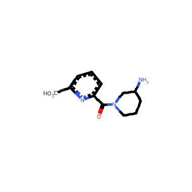 NC1CCCN(C(=O)c2cccc(C(=O)O)n2)C1